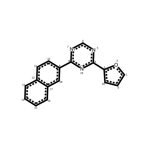 c1coc(-c2ncnc(-c3ccc4ccccc4c3)n2)c1